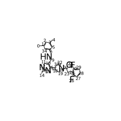 Cc1cc(C)cc(CNCc2cnc(C)nc2C2CCN(C(=O)Cc3c(F)cccc3F)CC2)c1